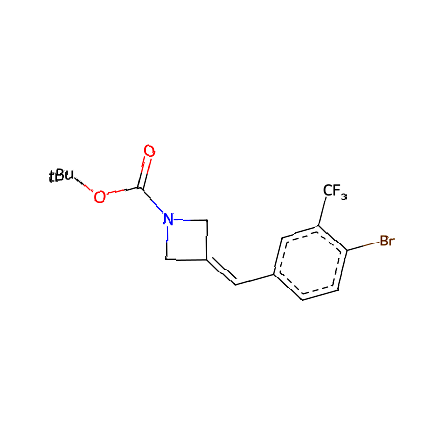 CC(C)(C)OC(=O)N1CC(=Cc2ccc(Br)c(C(F)(F)F)c2)C1